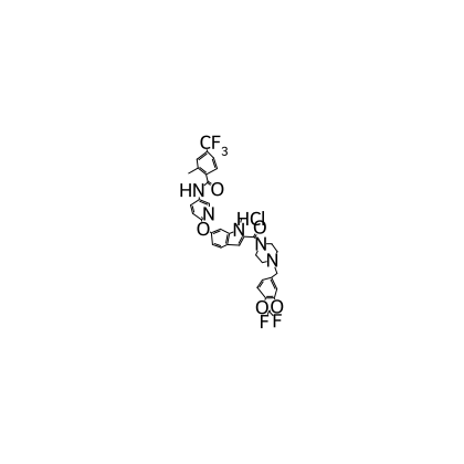 Cc1cc(C(F)(F)F)ccc1C(=O)Nc1ccc(Oc2ccc3cc(C(=O)N4CCN(Cc5ccc6c(c5)OC(F)(F)O6)CC4)n(C)c3c2)nc1.Cl